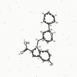 O=C(O)c1cc2cc(F)ccc2n1Cc1ccnc(-c2ccccc2)c1